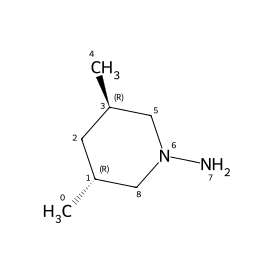 C[C@@H]1C[C@@H](C)CN(N)C1